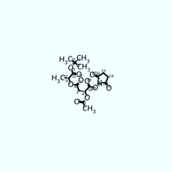 CC(=O)O[C@@H](CC(=O)O[C@@H](C)C(=O)OC(C)(C)C)C(=O)ON1C(=O)CCC1=O